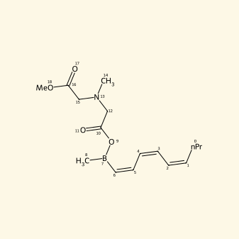 CCC\C=C/C=C\C=C/B(C)OC(=O)CN(C)CC(=O)OC